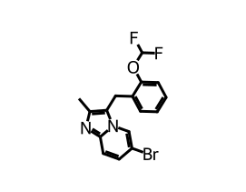 Cc1nc2ccc(Br)cn2c1Cc1ccccc1OC(F)F